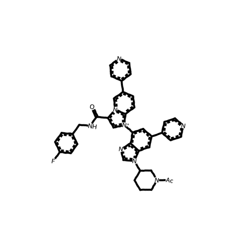 CC(=O)N1CCCC(n2cnc3c(-[n+]4cc(C(=O)NCc5ccc(F)cc5)n5cc(-c6ccncc6)ccc54)cc(-c4ccncc4)cc32)C1